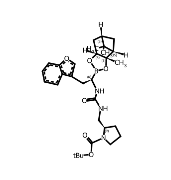 CC(C)(C)OC(=O)N1CCC[C@@H]1CNC(=O)N[C@@H](Cc1coc2ccccc12)B1O[C@@H]2C[C@@H]3C[C@@H](C3(C)C)[C@]2(C)O1